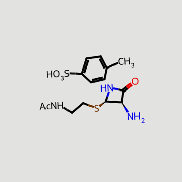 CC(=O)NCCS[C@H]1NC(=O)[C@H]1N.Cc1ccc(S(=O)(=O)O)cc1